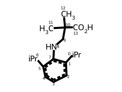 CC(C)c1cccc(C(C)C)c1NCC(C)(C)C(=O)O